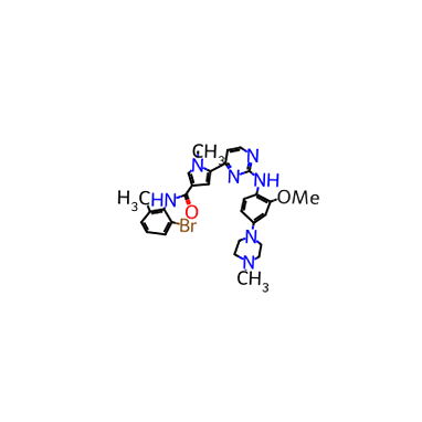 COc1cc(N2CCN(C)CC2)ccc1Nc1nccc(-c2cc(C(=O)Nc3c(C)cccc3Br)cn2C)n1